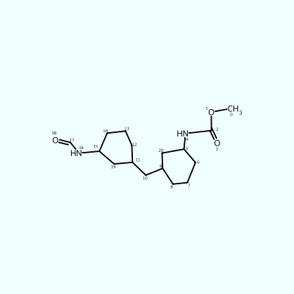 COC(=O)NC1CCCC(CC2CCCC(NC=O)C2)C1